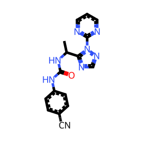 CC(NC(=O)Nc1ccc(C#N)cc1)c1ncnn1-c1ncccn1